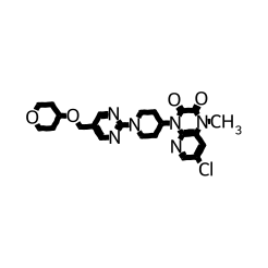 Cn1c(=O)c(=O)n(C2CCN(c3ncc(COC4CCOCC4)cn3)CC2)c2ncc(Cl)cc21